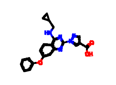 O=C(O)c1cnn(-c2nc(NCC3CC3)c3ccc(Oc4ccccc4)cc3n2)c1